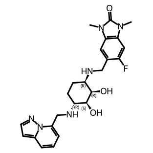 Cn1c(=O)n(C)c2cc(CN[C@@H]3CC[C@@H](NCc4cccc5ccnn45)[C@H](O)[C@@H]3O)c(F)cc21